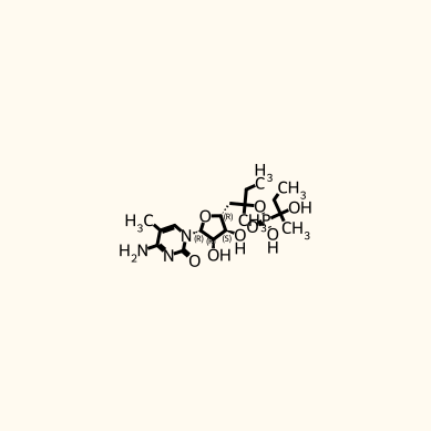 CCC(C)(C[C@H]1O[C@@H](n2cc(C)c(N)nc2=O)[C@H](O)[C@@H]1O)OP(=O)(O)C(C)(O)CC